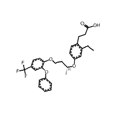 CCc1cc(O[C@H](C)CCOc2ccc(C(F)(F)F)cc2Oc2ccccc2)ccc1CCC(=O)O